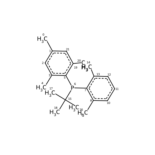 Cc1cc(C)c(P(c2c(C)cccc2C)C(C)(C)C)c(C)c1